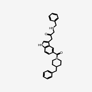 O=C(CNCc1ccccc1)Cc1c[nH]c2ccc(C(=O)N3CCC(Cc4ccccc4)CC3)cc12